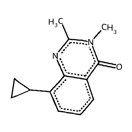 Cc1nc2c(C3CC3)cccc2c(=O)n1C